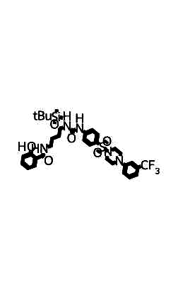 CC(C)(C)[Si](C)(C)OC(CCCNC(=O)c1ccccc1O)NC(=O)Nc1ccc(S(=O)(=O)N2CCN(c3cccc(C(F)(F)F)c3)CC2)cc1